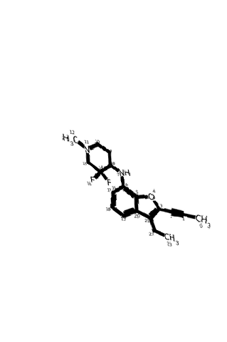 CC#Cc1oc2c(NC3CCN(C)CC3(F)F)cccc2c1CC